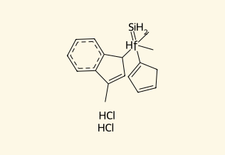 CC1=C[CH]([Hf]([CH3])([CH3])(=[SiH2])[C]2=CC=CC2)c2ccccc21.Cl.Cl